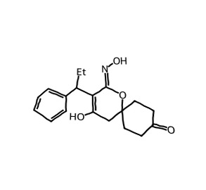 CCC(C1=C(O)CC2(CCC(=O)CC2)OC1=NO)c1ccccc1